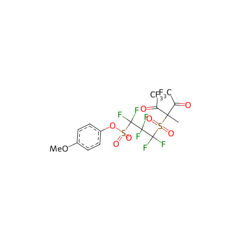 COc1ccc(OS(=O)(=O)C(F)(F)C(F)(F)C(F)(F)S(=O)(=O)C(C)(C(=O)C(F)(F)F)C(=O)C(F)(F)F)cc1